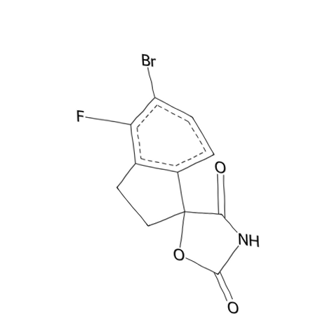 O=C1NC(=O)C2(CCc3c2ccc(Br)c3F)O1